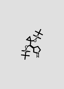 CC(C)(C)[Si](C)(C)O/C(=C1/CCNC1)C1(O[Si](C)(C)C(C)(C)C)CC1